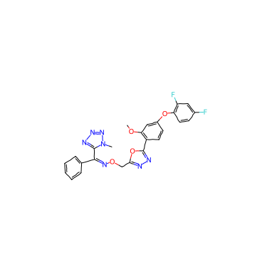 COc1cc(Oc2ccc(F)cc2F)ccc1-c1nnc(CO/N=C(/c2ccccc2)c2nnnn2C)o1